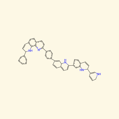 C1=CC(C2C=Cc3ccc(C4=CC=C5C=CC(c6ccc(-c7ccc8ccc9c(c8n7)NC(c7ccccc7)C=C9)cc6)=CC5N4)cc3N2)=CNC1